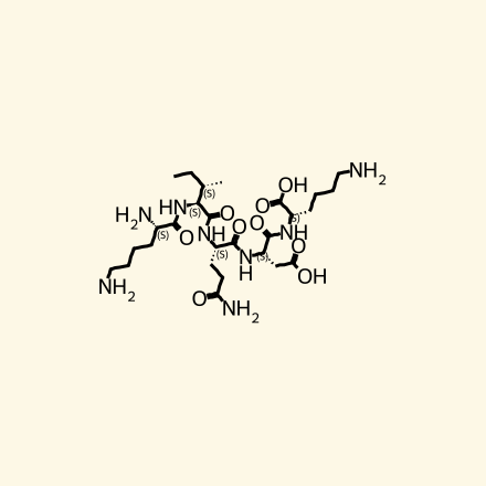 CC[C@H](C)[C@H](NC(=O)[C@@H](N)CCCCN)C(=O)N[C@@H](CCC(N)=O)C(=O)N[C@@H](CC(=O)O)C(=O)N[C@@H](CCCCN)C(=O)O